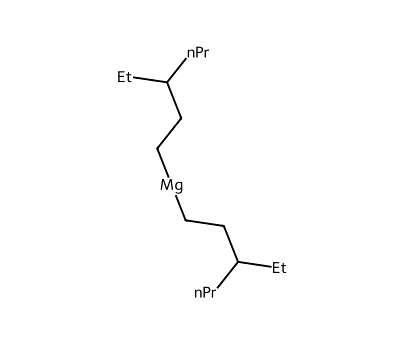 CCCC(CC)C[CH2][Mg][CH2]CC(CC)CCC